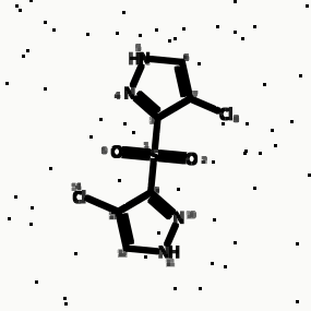 O=S(=O)(c1n[nH]cc1Cl)c1n[nH]cc1Cl